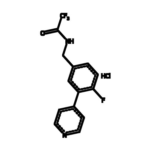 Cl.O=C(NCc1ccc(F)c(-c2ccncc2)c1)C(F)(F)F